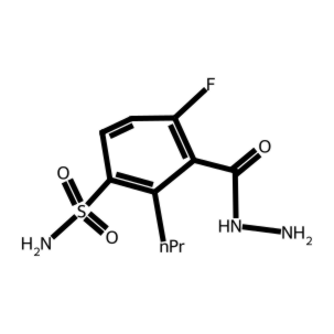 CCCc1c(S(N)(=O)=O)ccc(F)c1C(=O)NN